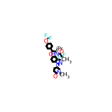 CC(C)[C@H](NC(=O)C(C)(F)F)[C@H](Oc1ccc2c(cnn2-c2ccc(=O)n(C)c2)c1)c1ccc(OC(F)F)cc1